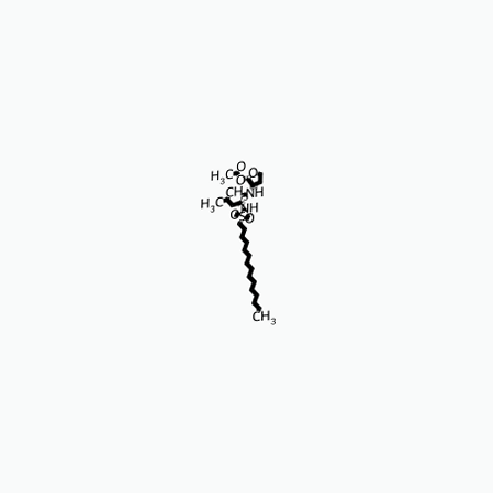 CCCCCCCCCCCCCCCS(=O)(=O)N[C@@H](CN[C@H]1CCO[C@H]1OC(C)=O)CC(C)C